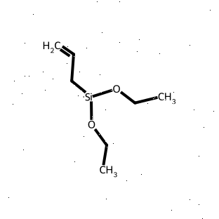 C=CC[Si](OCC)OCC